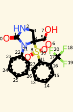 O=C1NCC(C(=O)O)(S(=O)(=O)c2ccccc2C(F)(F)F)N1c1ccccc1